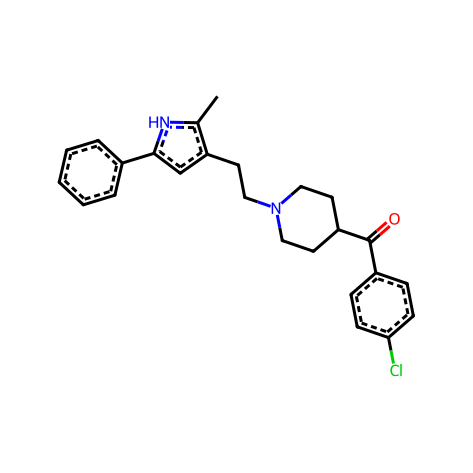 Cc1[nH]c(-c2ccccc2)cc1CCN1CCC(C(=O)c2ccc(Cl)cc2)CC1